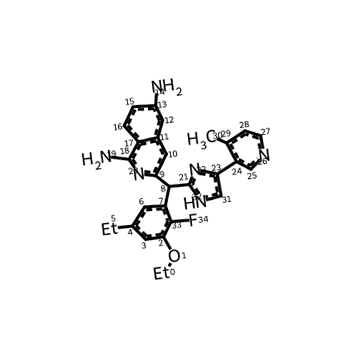 CCOc1cc(CC)cc(C(c2cc3cc(N)ccc3c(N)n2)c2nc(-c3cnccc3C)c[nH]2)c1F